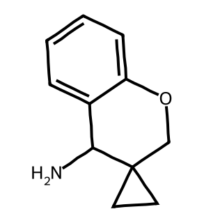 NC1c2ccccc2OCC12CC2